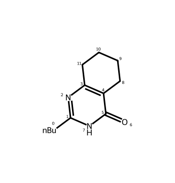 CCCCc1nc2c(c(=O)[nH]1)CCCC2